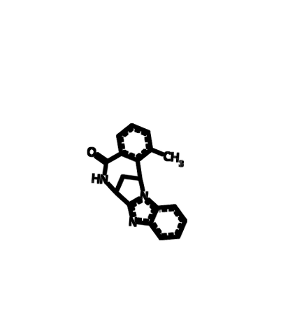 Cc1cccc2c1C1CC(NC2=O)c2nc3ccccc3n21